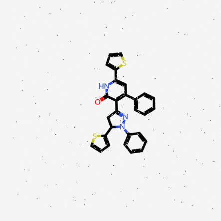 O=c1[nH]c(-c2cccs2)cc(-c2ccccc2)c1C1=NN(c2ccccc2)C(c2cccs2)C1